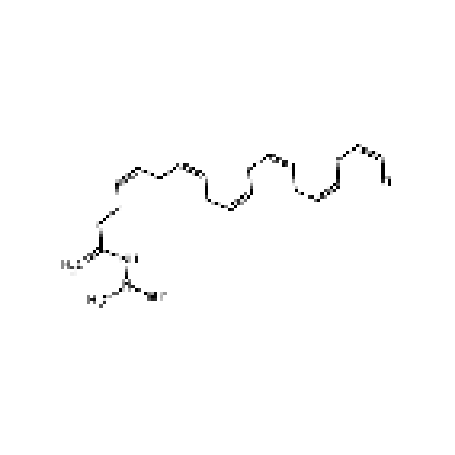 C=C(CC/C=C\C/C=C\C/C=C\C/C=C\C/C=C\C/C=C\CC)NN(C)CCC